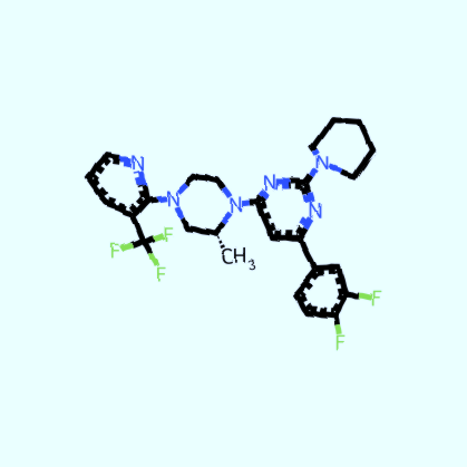 C[C@@H]1CN(c2ncccc2C(F)(F)F)CCN1c1cc(-c2ccc(F)c(F)c2)nc(N2CCCCC2)n1